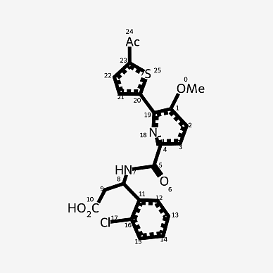 COc1ccc(C(=O)NC(CC(=O)O)c2ccccc2Cl)nc1-c1ccc(C(C)=O)s1